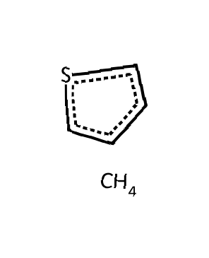 C.c1ccsc1